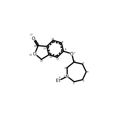 CCN1CCCCC(Oc2ccc3c(c2)COC3=O)C1